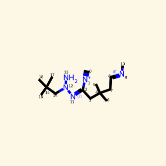 C#[N+]/C(CC(C)(C)C/C=N/C)=N\N(N)CC(C)(C)C